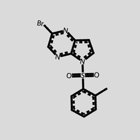 Cc1ccccc1S(=O)(=O)n1ccc2nc(Br)cnc21